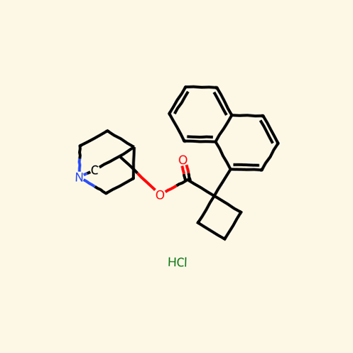 Cl.O=C(OC1CN2CCC1CC2)C1(c2cccc3ccccc23)CCC1